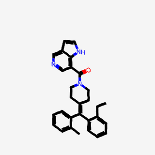 CCc1ccccc1C(=C1CCN(C(=O)c2cncc3cc[nH]c23)CC1)c1ccccc1C